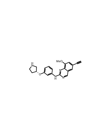 C#Cc1cc(OC)c2nc(Nc3cccc(O[C@@H]4CCNC4)c3)ncc2c1